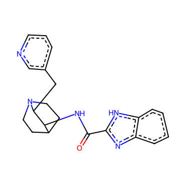 O=C(NC1C2CCN(CC2)C1Cc1cccnc1)c1nc2ccccc2[nH]1